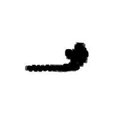 CCCCCCCCCCCCCCCCOCC1COC(COC(=O)N(CCN2C=CSC2OS(=O)(=O)c2ccc(C)cc2)C(C)=O)C1